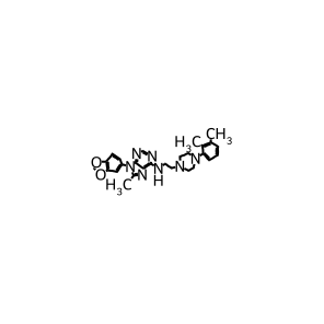 Cc1cccc(N2CCN(CCNc3ncnc4c3nc(C)n4-c3ccc4c(c3)OCO4)CC2)c1C